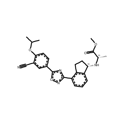 COC(=O)[C@H](C)N[C@H]1CCc2c(-c3noc(-c4ccc(OC(C)C)c(C#N)c4)n3)cccc21